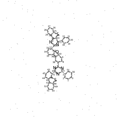 c1ccc(-c2nc(-c3ccc4oc5c(-c6nc(-c7ccccc7)c7sc8ccccc8c7n6)cccc5c4c3)nc(-c3cccc4c3sc3ccccc34)n2)cc1